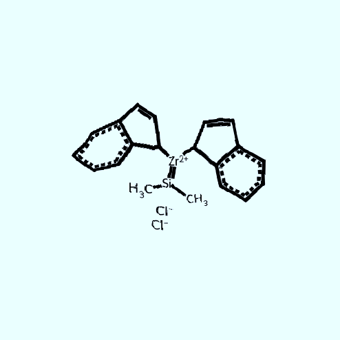 C[Si](C)=[Zr+2]([CH]1C=Cc2ccccc21)[CH]1C=Cc2ccccc21.[Cl-].[Cl-]